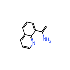 C=C(N)c1cccc2cccnc12